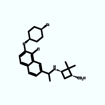 CC[C@H]1CC[C@@H](Oc2ccc3ccc(C(C)N[C@H]4C[C@@H](C(=O)O)C4(C)C)cc3c2Cl)CC1